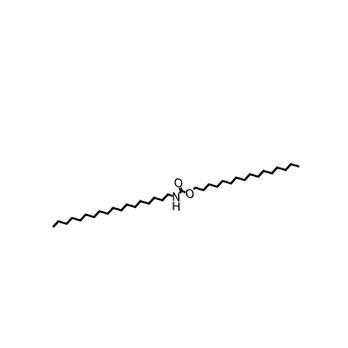 CCCCCCCCCCCCCCCCCCNC(=O)OCCCCCCCCCCCCCCCC